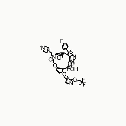 Cc1c2ccc(c1Cl)N(CCN1CCN(C)CC1)C(=O)COc1ccc(OCc3ccnc(OCCC(F)(F)F)n3)c(c1)C[C@H](C(=O)O)Oc1ncnc3sc(-c4ccc(F)cc4)c-2c13